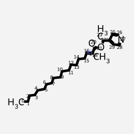 CCCCCCCCCCCCCCCC/C=C(\C)C(=O)OC(C)c1ccncc1